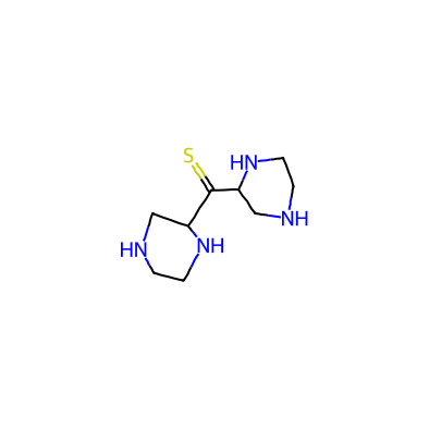 S=C(C1CNCCN1)C1CNCCN1